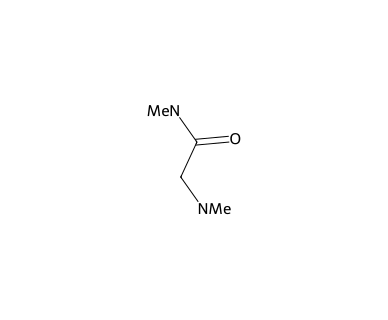 CNCC(=O)NC